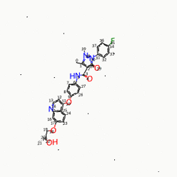 Cc1c(C(=O)Nc2ccc(Oc3ccnc4cc(OC[C@@H](C)O)ccc34)cc2)c(=O)n(-c2ccc(F)cc2)n1C